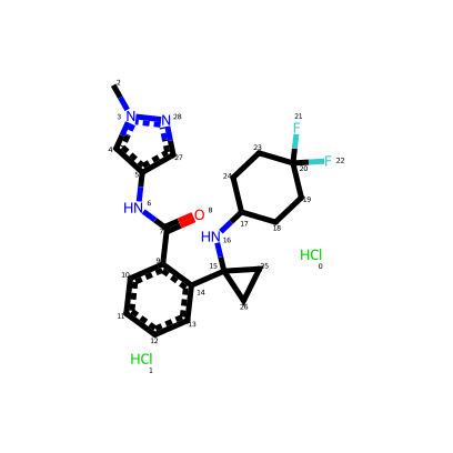 Cl.Cl.Cn1cc(NC(=O)c2ccccc2C2(NC3CCC(F)(F)CC3)CC2)cn1